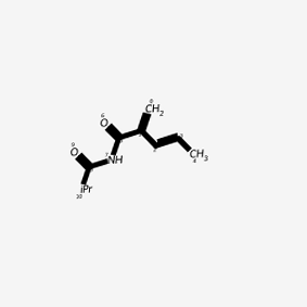 C=C(C=CC)C(=O)NC(=O)C(C)C